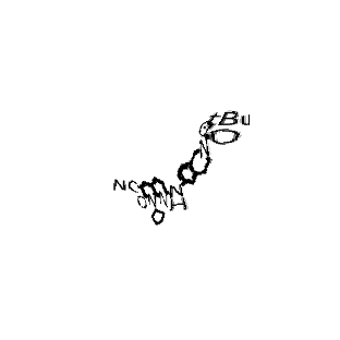 CC(C)(C)OC(=O)N1CCc2cc(Nc3ccc4cc(C#N)c(=O)n(C5CCCC5)c4n3)ccc2C1